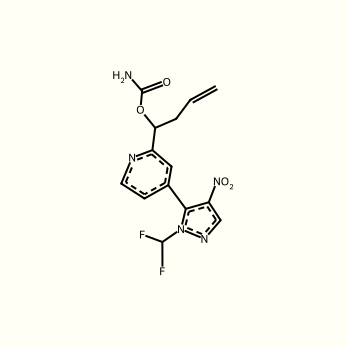 C=CCC(OC(N)=O)c1cc(-c2c([N+](=O)[O-])cnn2C(F)F)ccn1